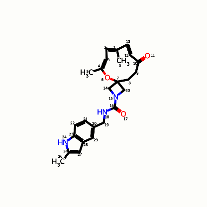 CC1=C\C=C(/C)OC2(CCC(=O)\C=C\1)CN(C(=O)NCc1ccc3[nH]c(C)cc3c1)C2